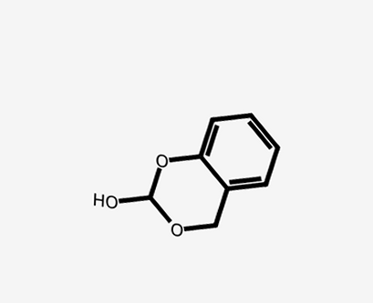 OC1OCc2ccccc2O1